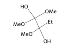 CCC(O)(OC)C(O)(OC)OC